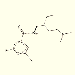 CCC(CCN(C)C)CNC(=O)c1cc(C)cc(F)c1